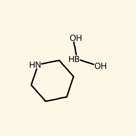 C1CCNCC1.OBO